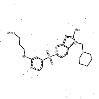 COCCCNc1cc(S(=O)(=O)c2ccc3c(c2)nc(C(C)(C)C)n3CC2CCCCC2)ccn1